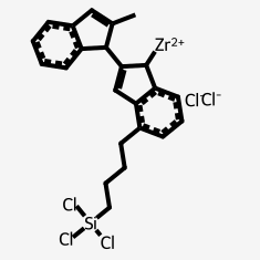 CC1=Cc2ccccc2C1C1=Cc2c(CCCC[Si](Cl)(Cl)Cl)cccc2[CH]1[Zr+2].[Cl-].[Cl-]